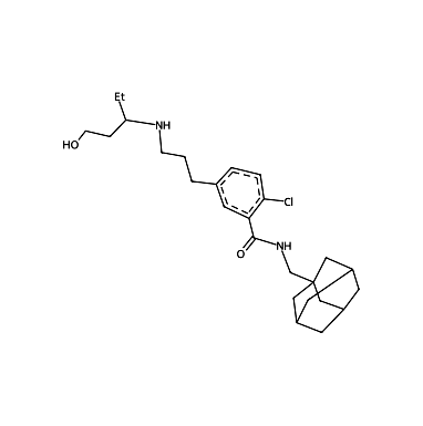 CCC(CCO)NCCCc1ccc(Cl)c(C(=O)NCC23CC4CC(CC(C4)C2)C3)c1